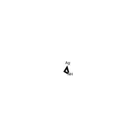 C1CN1.[Ag]